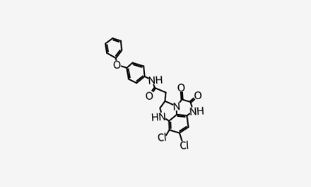 O=C(CC1CNc2c(Cl)c(Cl)cc3[nH]c(=O)c(=O)n1c23)Nc1ccc(Oc2ccccc2)cc1